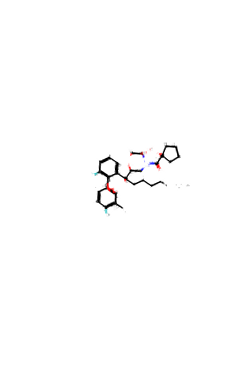 COCCCC[C@](O)(c1cccc(F)c1-c1ccc(F)c(C)c1)C1CN(C(=O)C2(O)CCCC2)CCO1